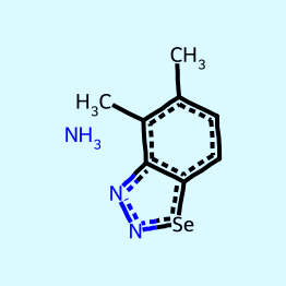 Cc1ccc2[se]nnc2c1C.N